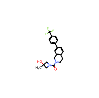 CC1(O)CN(C(=O)N2CCc3ccc(-c4ccc(C(F)(F)F)cc4)cc3C2)C1